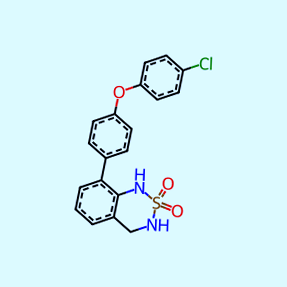 O=S1(=O)NCc2cccc(-c3ccc(Oc4ccc(Cl)cc4)cc3)c2N1